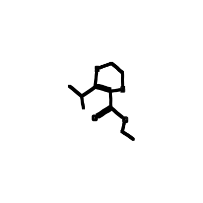 CCOC(=O)C1=C(C(C)C)SCCS1